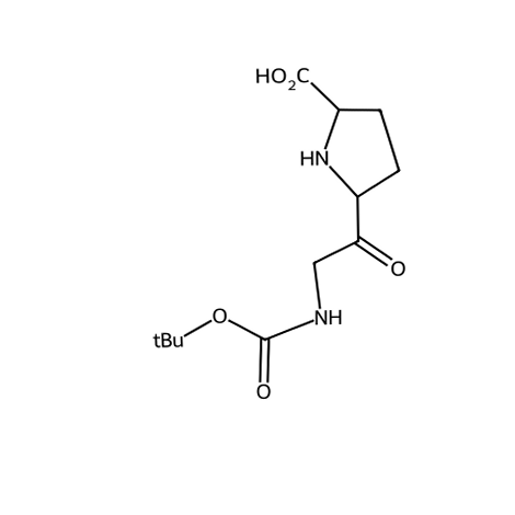 CC(C)(C)OC(=O)NCC(=O)C1CCC(C(=O)O)N1